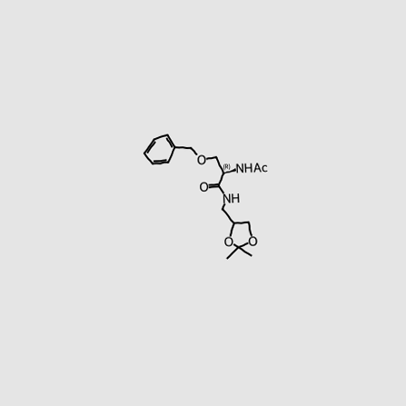 CC(=O)N[C@H](COCc1ccccc1)C(=O)NCC1COC(C)(C)O1